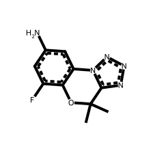 CC1(C)Oc2c(F)cc(N)cc2-n2nnnc21